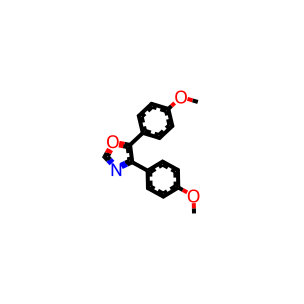 COc1ccc(-c2ncoc2-c2ccc(OC)cc2)cc1